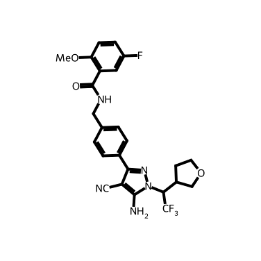 COc1ccc(F)cc1C(=O)NCc1ccc(-c2nn(C(C3CCOC3)C(F)(F)F)c(N)c2C#N)cc1